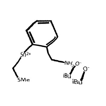 CCC(C)[O-].CCC(C)[O-].CS[CH2][Sn+2][c]1ccccc1CN